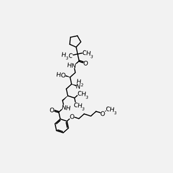 COCCCCOc1ccccc1C(=O)NC[C@@H](C[C@H](N)[C@@H](O)CNC(=O)C(C)(C)C1CCCC1)C(C)C